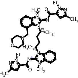 CCn1nc(C)cc1C(=O)N=c1n(C)c2cccc(CN3CCOCC3)c2n1[C@@H](C)CC[C@@H](C)n1/c(=N/C(=O)c2cc(C)nn2CC)n(C)c2ccccc21